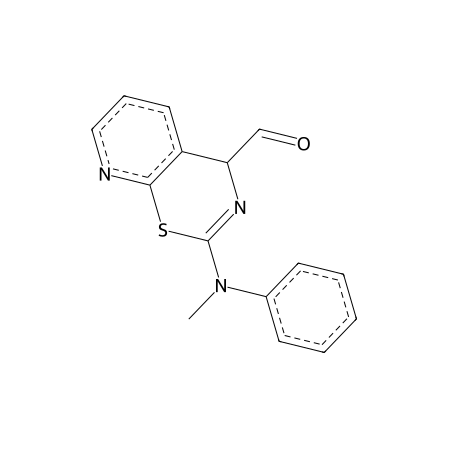 CN(C1=NC(C=O)c2cccnc2S1)c1ccccc1